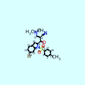 Cc1ccc(S(=O)(=O)n2c(C(=O)C(C#N)=CN(C)C)cc3ccc(Br)cc32)cc1